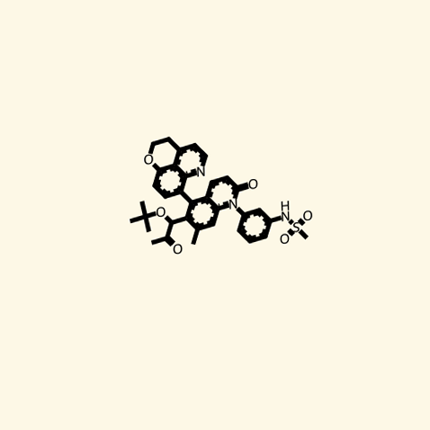 CC(=O)C(OC(C)(C)C)c1c(C)cc2c(ccc(=O)n2-c2cccc(NS(C)(=O)=O)c2)c1-c1ccc2c3c(ccnc13)CCO2